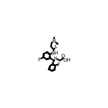 CN1CCC(Nc2ccc(F)cc2C(=NCC(=O)O)c2ccccc2F)CC1